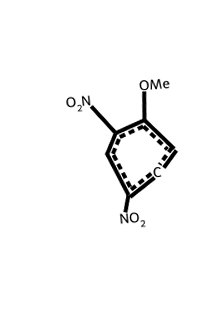 [CH2]Oc1ccc([N+](=O)[O-])cc1[N+](=O)[O-]